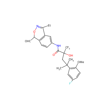 CCC1=NOC(C=O)c2ccc(NC(=O)C(O)(CC(C)(C)c3cc(F)ccc3OC)C(F)(F)F)cc21